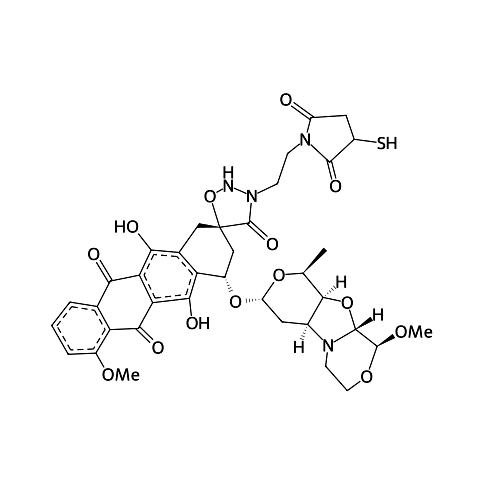 COc1cccc2c1C(=O)c1c(O)c3c(c(O)c1C2=O)C[C@@]1(C[C@@H]3O[C@H]2C[C@H]3[C@H](O[C@@H]4[C@@H](OC)OCCN43)[C@H](C)O2)ONN(CCN2C(=O)CC(S)C2=O)C1=O